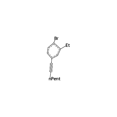 CCCCCC#Cc1ccc(Br)c(CC)c1